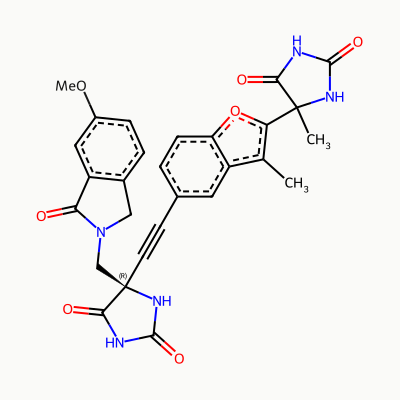 COc1ccc2c(c1)C(=O)N(C[C@@]1(C#Cc3ccc4oc(C5(C)NC(=O)NC5=O)c(C)c4c3)NC(=O)NC1=O)C2